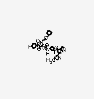 Cn1cnc(-c2cc(Oc3ccc(NC(=O)Oc4cn(CCOCc5ccccc5)c(=O)n(-c5ccc(F)cc5)c4=O)cc3F)c3ccnn3c2)c1